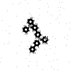 c1ccc(-c2ccc(N(c3ccc(-c4ccc5c6ccccc6n(-c6ccccc6)c5c4)cc3)c3cccnc3)cc2)cc1